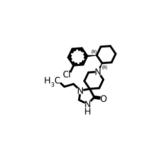 CCCN1CNC(=O)C12CCN([C@@H]1CCCC[C@@H]1c1cccc(Cl)c1)CC2